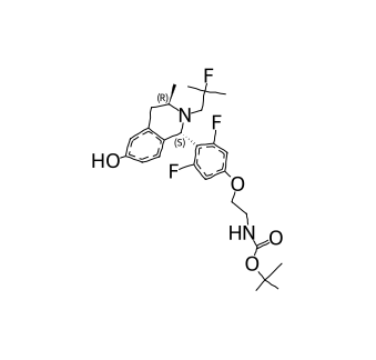 C[C@@H]1Cc2cc(O)ccc2[C@@H](c2c(F)cc(OCCNC(=O)OC(C)(C)C)cc2F)N1CC(C)(C)F